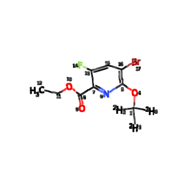 [2H]C([2H])([2H])Oc1nc(C(=O)OCC)c(F)cc1Br